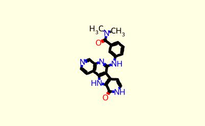 CN(C)C(=O)c1cccc(Nc2nc3cnccc3c3[nH]c4c(=O)[nH]ccc4c23)c1